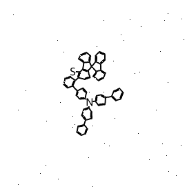 c1ccc(-c2ccc(N(c3ccc(-c4ccccc4)cc3)c3ccc(-c4cccc5sc6c7c(ccc6c45)C4(c5ccccc5-c5ccccc54)c4ccccc4-7)cc3)cc2)cc1